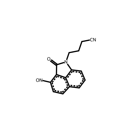 N#CCCCN1C(=O)c2c(N=O)ccc3cccc1c23